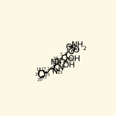 NS(=O)(=O)OCC1C[C@@H](n2cnc3c(CCc4ccccc4)ncnc32)[C@H](O)[C@@H]1O